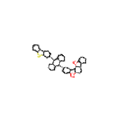 c1ccc2c(c1)oc1c2ccc2oc3ccc(-c4c5ccccc5c(-c5ccc6c(c5)sc5ccccc56)c5ccccc45)cc3c21